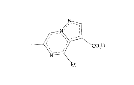 CCc1nc(C)cn2ncc(C(=O)O)c12